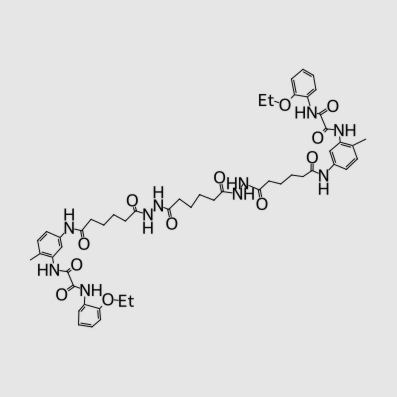 CCOc1ccccc1NC(=O)C(=O)Nc1cc(NC(=O)CCCCC(=O)NNC(=O)CCCCC(=O)NNC(=O)CCCCC(=O)Nc2ccc(C)c(NC(=O)C(=O)Nc3ccccc3OCC)c2)ccc1C